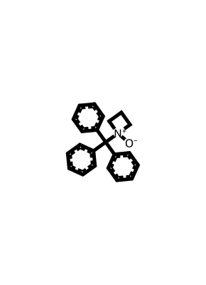 [O-][N+]1(C(c2ccccc2)(c2ccccc2)c2ccccc2)CCC1